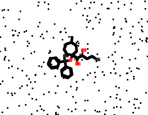 CC1CCCC(O[Si](c2ccccc2)(c2ccccc2)C(C)(C)C)([C@H](O)[C@H](O)CCC#N)CC1